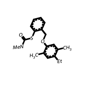 CCc1cc(C)c(OCc2ccccc2SC(=O)NC)cc1C